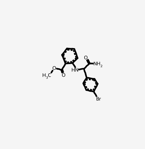 COC(=O)c1ccccc1NC(C(N)=O)c1ccc(Br)cc1